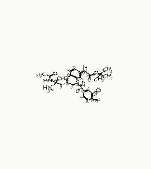 CC(=O)NC(C)(C)C[C@H]1CN(S(=O)(=O)c2ccc(F)c(Cl)c2)c2cc(NC(=O)OC(C)(C)C)ccc2O1